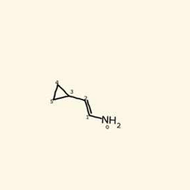 NC=CC1CC1